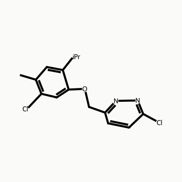 Cc1cc(C(C)C)c(OCc2ccc(Cl)nn2)cc1Cl